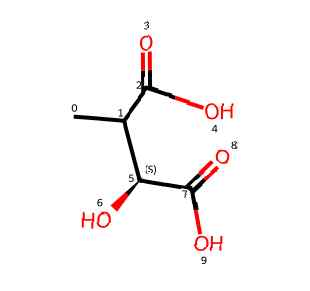 CC(C(=O)O)[C@H](O)C(=O)O